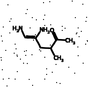 CC(=O)C(C)C/C(N)=C/N